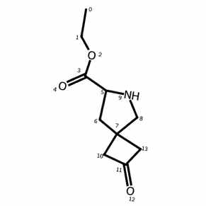 CCOC(=O)C1CC2(CN1)CC(=O)C2